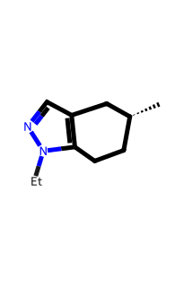 CCn1ncc2c1CC[C@@H](C)C2